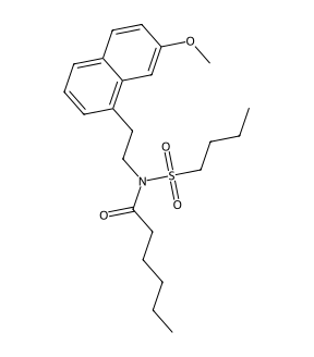 CCCCCC(=O)N(CCc1cccc2ccc(OC)cc12)S(=O)(=O)CCCC